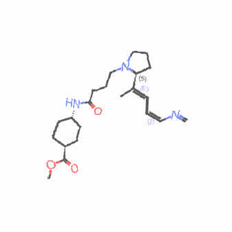 C=N/C=C\C=C(/C)[C@@H]1CCCN1CCCC(=O)N[C@H]1CC[C@H](C(=O)OC)CC1